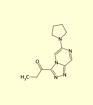 CCC(=O)c1nnc2cnc(N3CCCC3)cn12